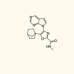 CNC(=O)c1nc(-n2ccc3cncnc32)c(C23CCC(CC2)C3)o1